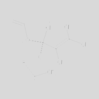 C=COC(Cl)(Cl)C(Cl)=C(Cl)Cl.FCC(F)(F)F